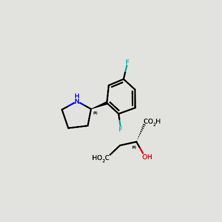 Fc1ccc(F)c([C@H]2CCCN2)c1.O=C(O)C[C@@H](O)C(=O)O